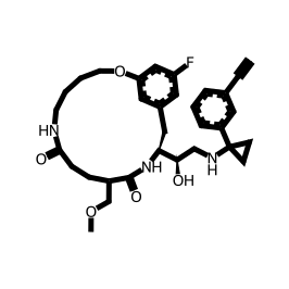 C#Cc1cccc(C2(NC[C@@H](O)[C@@H]3Cc4cc(F)cc(c4)OCCCCNC(=O)CCC(COC)C(=O)N3)CC2)c1